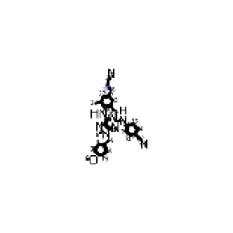 COc1ccc(Cn2cnc3c(Nc4c(C)cc(/C=C/C#N)cc4C)nc(Nc4ccc(C#N)cc4)nc32)cc1